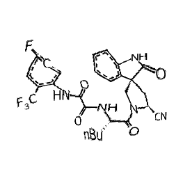 CCCC[C@H](NC(=O)C(=O)Nc1ccc(F)cc1C(F)(F)F)C(=O)N1C[C@]2(C[C@H]1C#N)C(=O)Nc1ccccc12